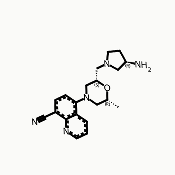 C[C@@H]1CN(c2ccc(C#N)c3ncccc23)C[C@H](CN2CC[C@@H](N)C2)O1